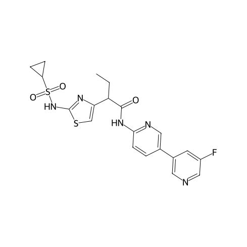 CCC(C(=O)Nc1ccc(-c2cncc(F)c2)cn1)c1csc(NS(=O)(=O)C2CC2)n1